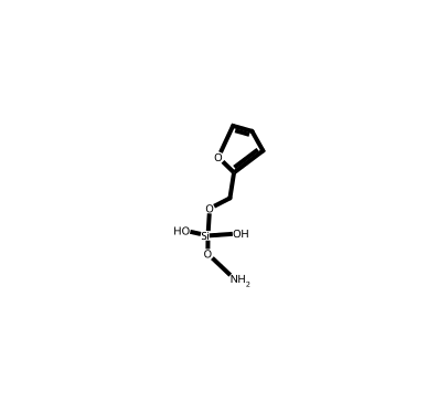 NO[Si](O)(O)OCc1ccco1